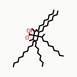 CCCCCCCCCCCC(C(C)CCCCCCCC)(C(C)CCCCCCCC)C(C(=O)O)(C(C)CCCCCCCC)C(C)CCCCCCCC